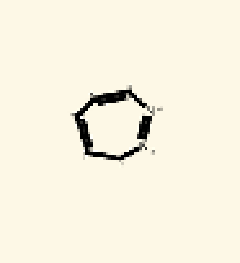 C1=CCN=NC=C1